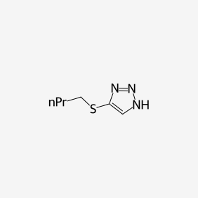 [CH2]CCCSc1c[nH]nn1